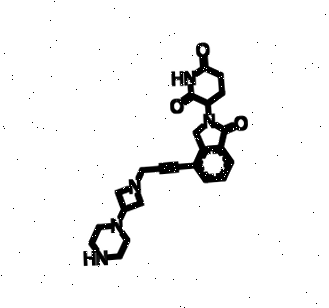 O=C1CCC(N2Cc3c(C#CCN4CC(N5CCNCC5)C4)cccc3C2=O)C(=O)N1